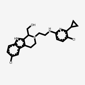 OCC1c2[nH]c3ccc(Cl)cc3c2CCN1CCNc1ccc(Cl)c(C2CC2)n1